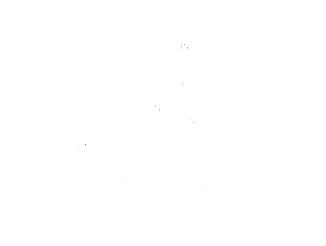 O=[N+]([O-])c1ccc2c3ccccc3c3nc(C4=CNC5C=CC=CC45)[nH]c3c2c1